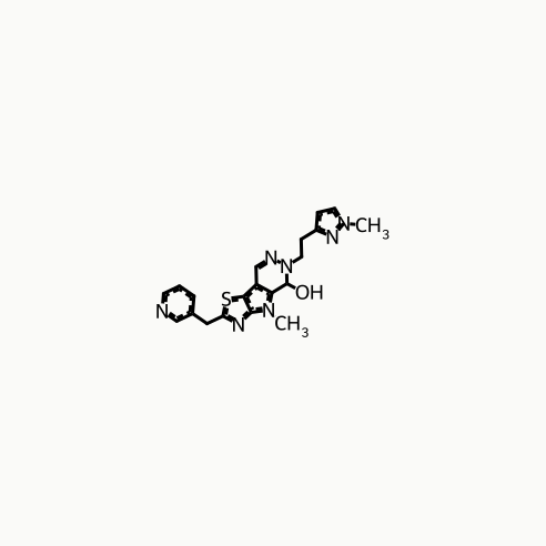 Cn1ccc(CCN2N=Cc3c(n(C)c4nc(Cc5cccnc5)sc34)C2O)n1